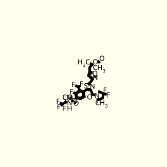 C[C@H](NS(=O)(=O)c1ccc(-c2sc(-c3cc(CC(C)(C)OC=O)on3)nc2C(=O)N2CC(F)(F)C[C@@H]2C)c(C(F)F)c1F)C(F)(F)F